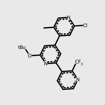 Cc1cnc(Cl)cc1-c1cc(OC(C)(C)C)nc(-c2cccnc2C(F)(F)F)c1